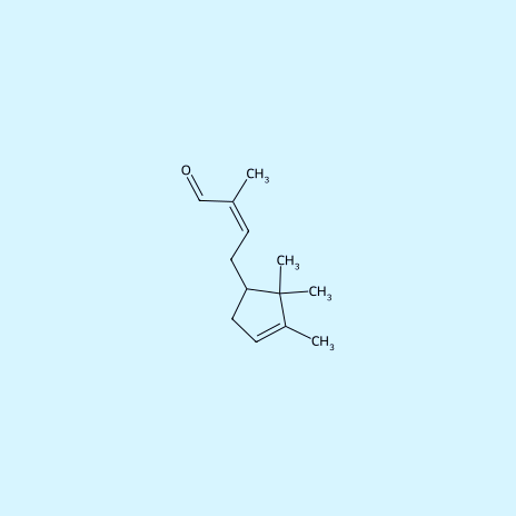 CC(C=O)=CCC1CC=C(C)C1(C)C